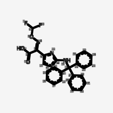 O=C(O)C(=NOC(F)F)c1csc(NC(c2ccccc2)(c2ccccc2)c2ccccc2)n1